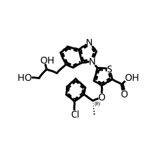 C[C@@H](Oc1cc(-n2cnc3ccc(CC(O)CO)cc32)sc1C(=O)O)c1ccccc1Cl